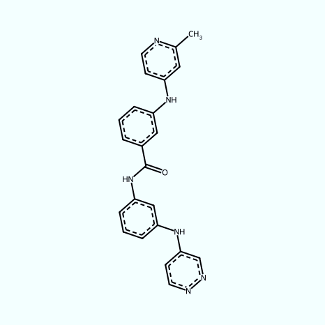 Cc1cc(Nc2cccc(C(=O)Nc3cccc(Nc4ccnnc4)c3)c2)ccn1